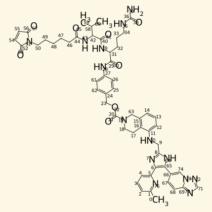 Cc1cccc(-c2nc(CNc3cccc4c3CCN(C(=O)OCc3ccc(NC(=O)C(CCCNC(N)=O)NC(=O)C(NC(=O)CCCCCN5C(=O)C=CC5=O)C(C)C)cc3)C4)[nH]c2-c2ccc3ncnn3c2)n1